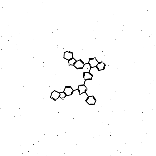 C1=Cc2c(sc3ccc(-c4cnc5ncccc5c4-c4ccc(-c5cc(-c6ccc7c8c(oc7c6)C=CCC8)nc(-c6ccccc6)n5)cc4)cc23)CC1